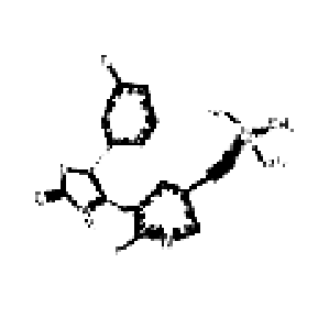 C[Si](C)(C)C#Cc1cnc(F)c([C@H]2NC(=O)O[C@@H]2c2cccc(F)c2)c1